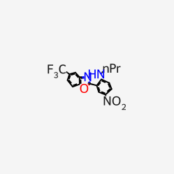 CCCNc1ccc([N+](=O)[O-])cc1-c1nc2cc(C(F)(F)F)ccc2o1